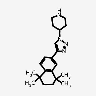 CC1(C)CCC(C)(C)c2cc(-c3cn(C4CCNCC4)nn3)ccc21